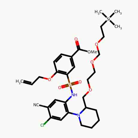 C=CCOc1ccc(C(=O)OC)cc1S(=O)(=O)Nc1cc(C#N)c(Cl)cc1N1CCCCC1COCCOCOCC[Si](C)(C)C